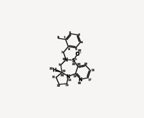 Cc1ccccc1CN1C[C@H]2CCCN2c2ncccc2[S+]1[O-]